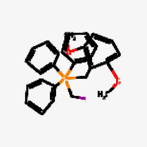 COc1cccc(OC)c1CP(CI)(c1ccccc1)(c1ccccc1)c1ccccc1